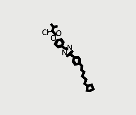 CC(C)[C@H](Cl)C(=O)Oc1ccc(-c2ncc(-c3ccc(CCCCCCC4CCCC4)cc3)cn2)cc1